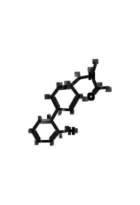 [2H]c1ccccc1-c1ccc(CN(C)C(C)=O)cc1